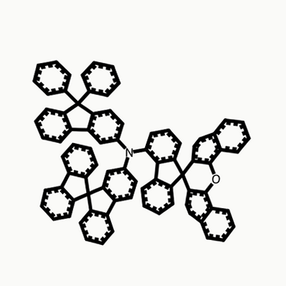 c1ccc(C2(c3ccccc3)c3ccccc3-c3cc(N(c4ccc5c(c4)C4(c6ccccc6-c6ccccc64)c4ccccc4-5)c4cccc5c4-c4ccccc4C54c5ccc6ccccc6c5Oc5c4ccc4ccccc54)ccc32)cc1